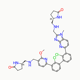 COc1nc(-c2cccc(-c3cccc(-c4ccc5c(n4)nc(CNC[C@H]4CCC(=O)N4)n5C)c3Cl)c2Cl)ccc1CNC[C@H]1CCC(=O)N1